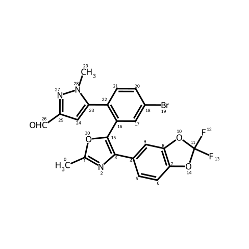 Cc1nc(-c2ccc3c(c2)OC(F)(F)O3)c(-c2cc(Br)ccc2-c2cc(C=O)nn2C)o1